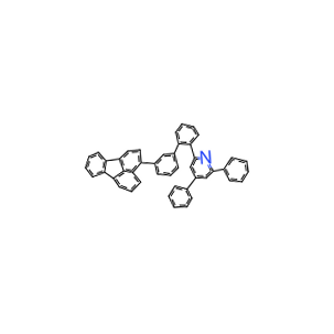 c1ccc(-c2cc(-c3ccccc3)nc(-c3ccccc3-c3cccc(-c4ccc5c6c(cccc46)-c4ccccc4-5)c3)c2)cc1